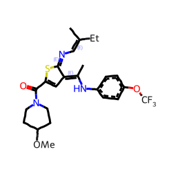 CC/C(C)=C/N=C1/SC(C(=O)N2CCC(OC)CC2)=C/C1=C(/C)Nc1ccc(OC(F)(F)F)cc1